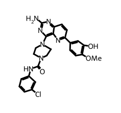 COc1ccc(-c2ccc3nc(N)nc(N4CCN(C(=O)Nc5cccc(Cl)c5)CC4)c3n2)cc1O